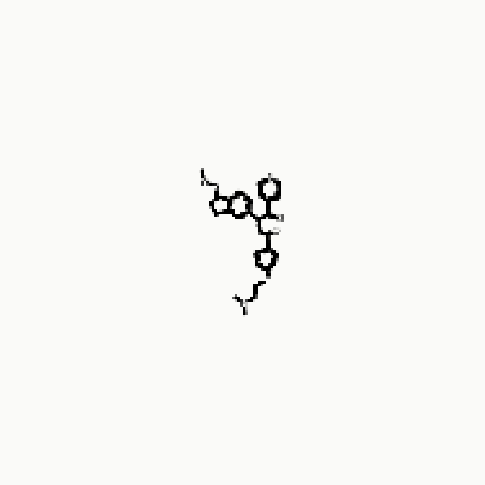 CON=C1CCc2cc(C(CC(=O)c3ccc(OCCN(C)C)cc3)C(=O)c3ccncc3)ccc21